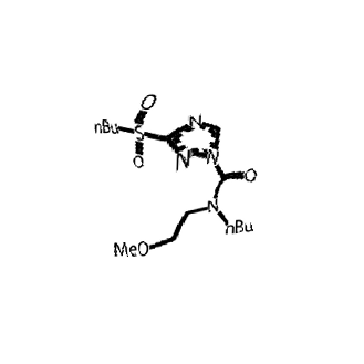 CCCCN(CCOC)C(=O)n1cnc(S(=O)(=O)CCCC)n1